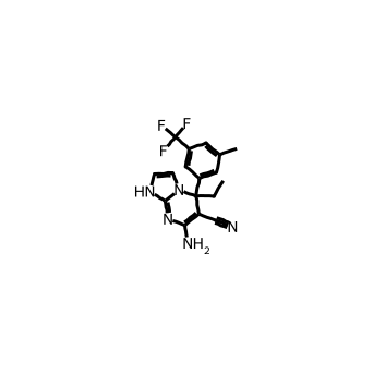 CCC1(c2cc(C)cc(C(F)(F)F)c2)C(C#N)=C(N)N=C2NC=CN21